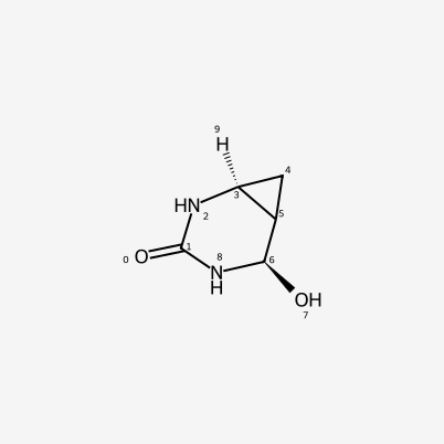 O=C1N[C@H]2CC2[C@@H](O)N1